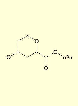 CCCCOC(=O)C1CC([O])CCO1